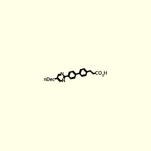 CCCCCCCCCCc1cnc(-c2ccc(-c3ccc(CCC(=O)O)cc3)cc2)nc1